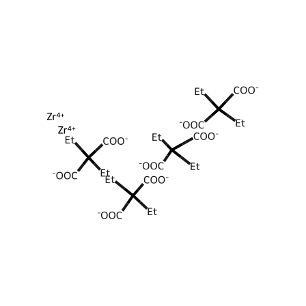 CCC(CC)(C(=O)[O-])C(=O)[O-].CCC(CC)(C(=O)[O-])C(=O)[O-].CCC(CC)(C(=O)[O-])C(=O)[O-].CCC(CC)(C(=O)[O-])C(=O)[O-].[Zr+4].[Zr+4]